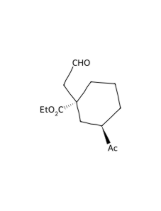 CCOC(=O)[C@]1(CC=O)CCC[C@@H](C(C)=O)C1